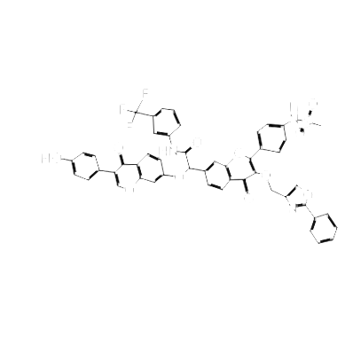 CS(=O)(=O)Nc1ccc(-c2oc3cc(C(Oc4ccc5c(=O)c(-c6ccc(O)cc6)coc5c4)C(=O)Nc4cccc(C(F)(F)F)c4)ccc3c(=O)c2OCc2coc(-c3ccccc3)n2)cc1